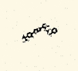 C[C@@H](OC(=O)Nc1c(-c2cc3sc(-c4ccc(C5(C(=O)O)CC5)cc4F)cc3s2)cnn1C)c1ccccc1